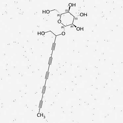 CC#CC#CC#CC#CC#CC(CO)O[C@@H]1O[C@H](CO)[C@@H](O)[C@H](O)[C@H]1O